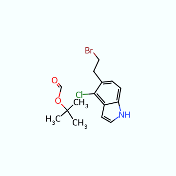 CC(C)(C)OC=O.Clc1c(CCBr)ccc2[nH]ccc12